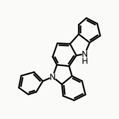 c1ccc(-n2c3ccccc3c3c4[nH]c5ccccc5c4ccc32)cc1